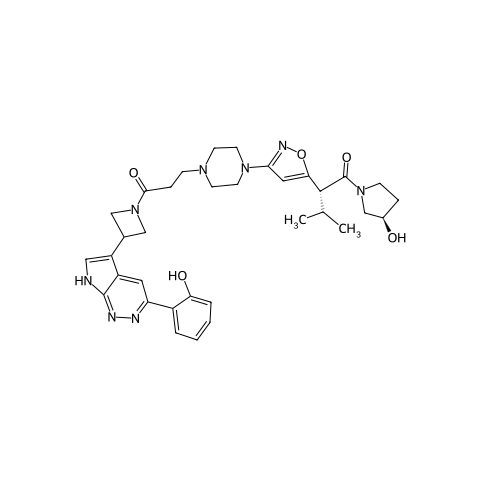 CC(C)[C@@H](C(=O)N1CC[C@@H](O)C1)c1cc(N2CCN(CCC(=O)N3CC(c4c[nH]c5nnc(-c6ccccc6O)cc45)C3)CC2)no1